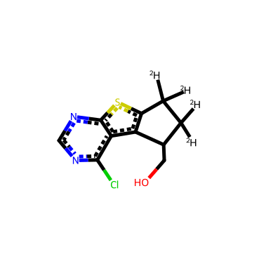 [2H]C1([2H])c2sc3ncnc(Cl)c3c2C(CO)C1([2H])[2H]